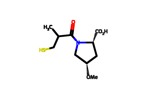 CO[C@H]1C[C@@H](C(=O)O)N(C(=O)C(C)CS)C1